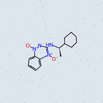 C[C@@H](Nc1n[n+]([O-])c2ccccc2[n+]1[O-])C1CCCCC1